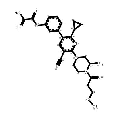 C=C(C)C(=O)Nc1cccc(-c2cc(C#N)c(N3CCN(C(=O)CCOC)[C@H](C)C3)nc2C2CC2)c1